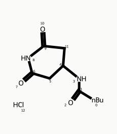 CCCCC(=O)NC1CC(=O)NC(=O)C1.Cl